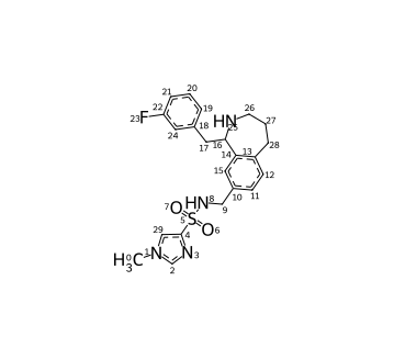 Cn1cnc(S(=O)(=O)NCc2ccc3c(c2)C(Cc2cccc(F)c2)NCCC3)c1